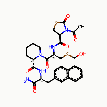 CC(=O)N1C(=O)SCC1C(=O)N[C@@H](CSCO)C(=O)N1CCCC[C@H]1C(=O)N[C@@H](Cc1ccc2ccccc2c1)C(N)=O